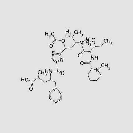 CCC(C)C(NC(=O)[C@H]1CCCCN1C)C(=O)N(C)C(CC(OC(C)=O)c1nc(C(=O)NC(Cc2ccccc2)CC(C)C(=O)O)cs1)C(C)C